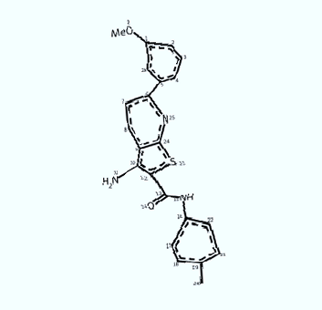 COc1cccc(-c2ccc3c(N)c(C(=O)Nc4ccc(C)cc4)sc3n2)c1